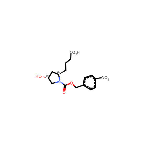 O=C(O)CCC[C@@H]1C[C@@H](O)CN1C(=O)OCc1ccc([N+](=O)[O-])cc1